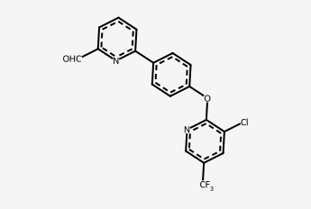 O=Cc1cccc(-c2ccc(Oc3ncc(C(F)(F)F)cc3Cl)cc2)n1